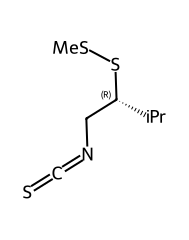 CSS[C@@H](CN=C=S)C(C)C